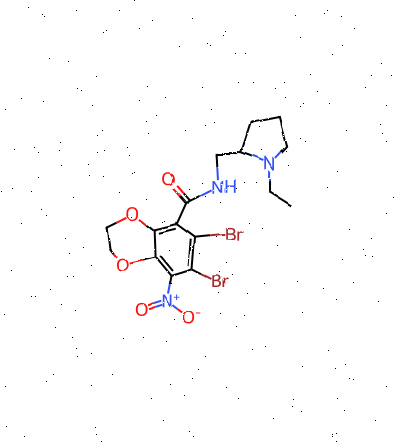 CCN1CCCC1CNC(=O)c1c(Br)c(Br)c([N+](=O)[O-])c2c1OCCO2